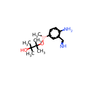 CB(OC(C)(C)C(C)(C)O)c1ccc(N)c(C=N)c1